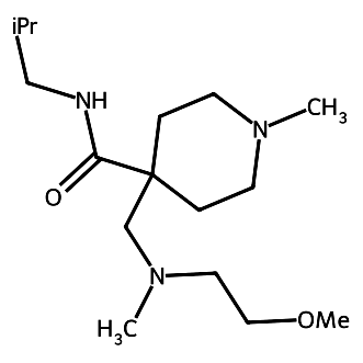 COCCN(C)CC1(C(=O)NCC(C)C)CCN(C)CC1